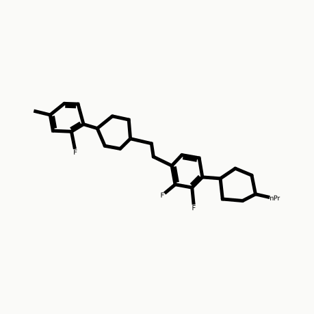 CCCC1CCC(c2ccc(CCC3CCC(c4ccc(C)cc4F)CC3)c(F)c2F)CC1